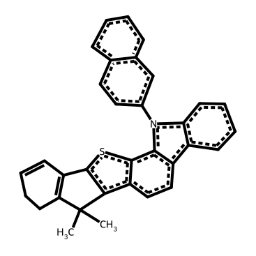 CC1(C)C2=C(C=CCC2)c2sc3c(ccc4c5ccccc5n(-c5ccc6ccccc6c5)c43)c21